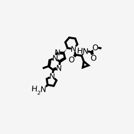 COC(=O)N[C@H](C(=O)N1CCCC[C@H]1c1cc2nc(N3CCC(N)C3)c(C)cn2n1)C1CC1